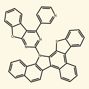 c1cncc(-c2nc(-n3c4c5ccccc5ccc4c4c5ccccc5c5c6ccccc6sc5c43)nc3oc4ccccc4c23)c1